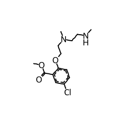 CNCCN(C)CCOc1ccc(Cl)cc1C(=O)OC